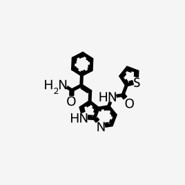 NC(=O)C(=Cc1c[nH]c2nccc(NC(=O)c3cccs3)c12)c1ccccc1